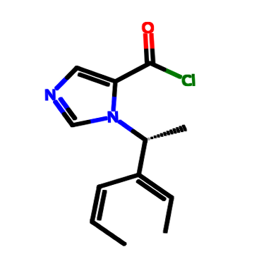 C/C=C\C(=C/C)[C@@H](C)n1cncc1C(=O)Cl